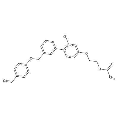 CC(=O)OCCOc1ccc(-c2cccc(COc3ccc(C=O)cc3)c2)c(Cl)c1